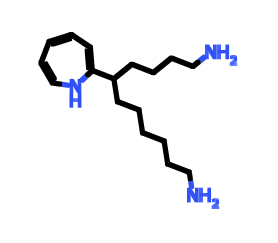 NCCCCCCC(CCCCN)C1=CC=CC=CN1